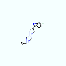 Fc1ccc2c(C3CCN(N4CCN(CC5CC5)CC4)CC3)c[nH]c2c1